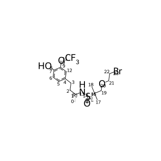 C[C@H](CCc1ccc(O)c(OC(F)(F)F)c1)N[S@+]([O-])C(C)(C)COCCBr